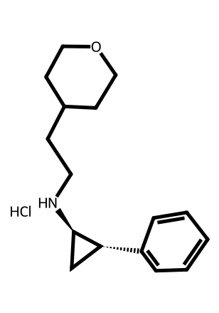 Cl.c1ccc([C@@H]2C[C@H]2NCCC2CCOCC2)cc1